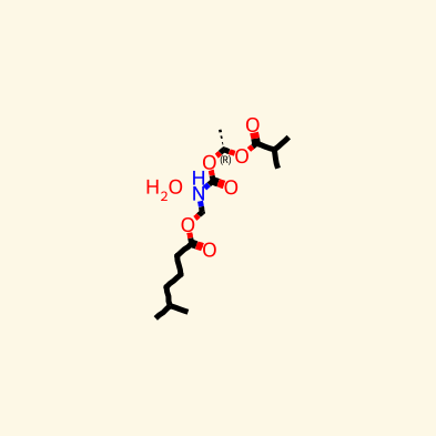 CC(C)CCCC(=O)OCNC(=O)O[C@H](C)OC(=O)C(C)C.O